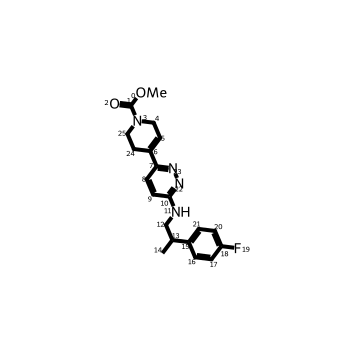 COC(=O)N1CC=C(c2ccc(NCC(C)c3ccc(F)cc3)nn2)CC1